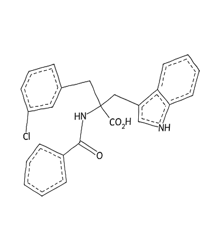 O=C(NC(Cc1cccc(Cl)c1)(Cc1c[nH]c2ccccc12)C(=O)O)c1ccccc1